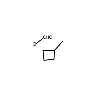 CC1CCC1.O=CCl